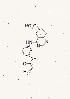 C=CC(=O)Nc1cccc(Nc2ncnc3c2CN(C(=O)O)CC3)c1